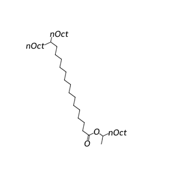 CCCCCCCCC(CCCCCCCC)CCCCCCCCCCCCCCC(=O)OC(C)CCCCCCCC